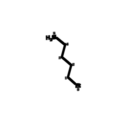 CCCCC[CH][SiH3]